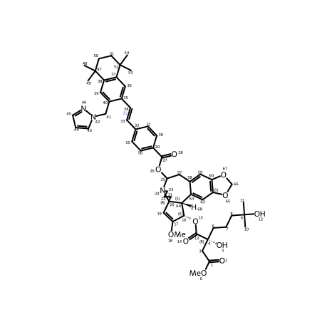 COC(=O)C[C@](O)(CCCC(C)(C)O)C(=O)O[C@@H]1C(OC)=C[C@]23CCCN2C(OC(=O)c2ccc(/C=C/c4cc5c(cc4Cn4cccn4)C(C)(C)CCC5(C)C)cc2)Cc2cc4c(cc2[C@H]13)OCO4